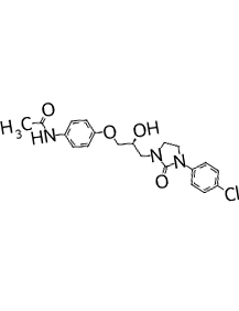 CC(=O)Nc1ccc(OC[C@@H](O)CN2CCN(c3ccc(Cl)cc3)C2=O)cc1